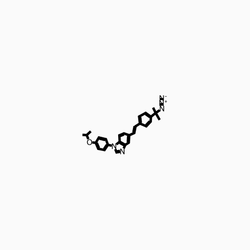 CC(C)Oc1ccc(-n2cnc3cc(/C=C/c4ccc(C(C)(C)N=[N+]=[N-])cc4)ccc32)cc1